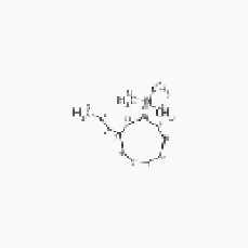 CCCC1CCCCCCCC1.CN(C)C